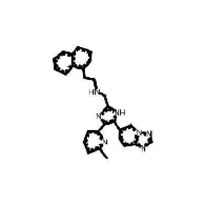 Cc1cccc(-c2nc(CNCCc3cccc4ccccc34)[nH]c2-c2ccc3ncnn3c2)n1